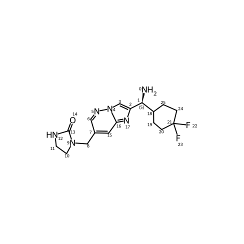 N[C@H](c1cn2ncc(CN3CCNC3=O)cc2n1)C1CCC(F)(F)CC1